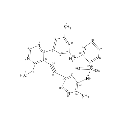 CCc1ncnc(-c2ccnc(C)c2)c1C#Cc1cnc(C)c(NS(=O)(=O)c2ccccc2C)c1